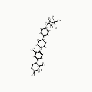 O=C1CCC(c2ccc(N3CCC(c4ccc(OS(=O)(=O)C(F)(F)F)cc4)CC3)c(Cl)c2)C(=O)N1